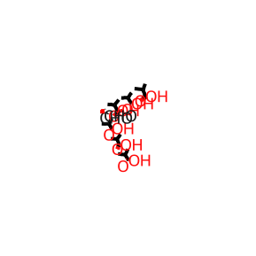 CC(C)C(=O)O.CC(C)C(=O)O.CC(C)C(=O)O.CC(C)C(=O)O.CC(C)C(=O)O.CC(C)C(=O)O.CC=O.CC=O